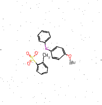 CC(C)(C)Oc1ccc([I+]c2ccccc2)cc1.Cc1ccccc1S(=O)(=O)[O-]